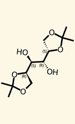 CC1(C)OC[C@@H]([C@H](O)[C@H](O)[C@H]2COC(C)(C)O2)O1